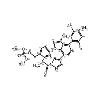 CC(=O)c1cc(-c2ncc(-c3cnn(C(=O)N(C)c4ncccc4COP(=O)(OC(C)(C)C)OC(C)(C)C)c3)c3onc(N)c23)c(F)cc1N